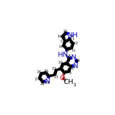 COc1cc2ncnc(Nc3ccc4[nH]ccc4c3)c2cc1/C=C/c1ccccn1